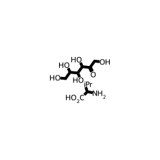 CC(C)C(N)C(=O)O.O=C(CO)C(O)C(O)C(O)CO